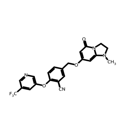 CN1CCn2c1cc(OCc1ccc(Oc3cncc(C(F)(F)F)c3)c(C#N)c1)cc2=O